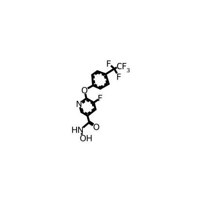 O=C(NO)c1cnc(Oc2ccc(C(F)(F)C(F)(F)F)cc2)c(F)c1